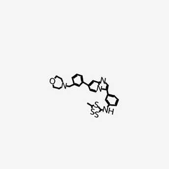 CC1SSC(Nc2cccc(-c3cnc4cc(-c5cccc(CN6CCOCC6)c5)ccn34)c2)S1